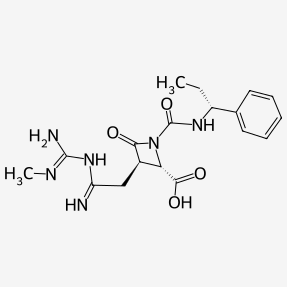 CC[C@@H](NC(=O)N1C(=O)[C@H](CC(=N)NC(N)=NC)[C@H]1C(=O)O)c1ccccc1